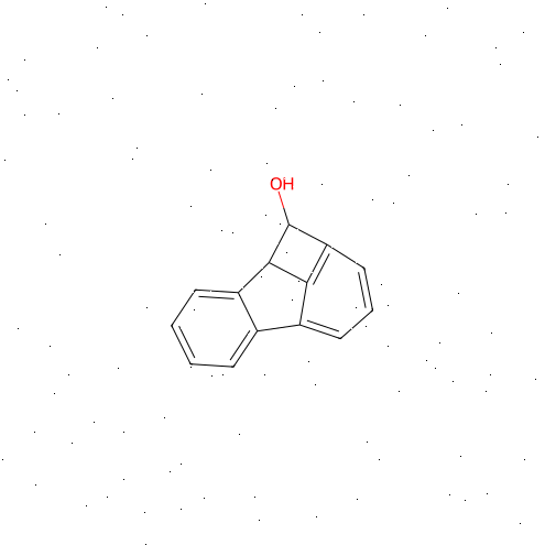 OC1c2cccc3c2C1c1ccccc1-3